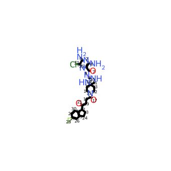 Nc1nc(N)c(C(=O)/N=C2\NCC3(CCN(C(=O)CCC(=O)C4CCc5cc(F)ccc54)CC3)N2)nc1Cl